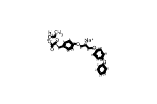 CC(C)O[C@@H](Cc1ccc(OCCCOc2ccc(Oc3ccccc3)cc2)cc1)C(=O)[O-].[Na+]